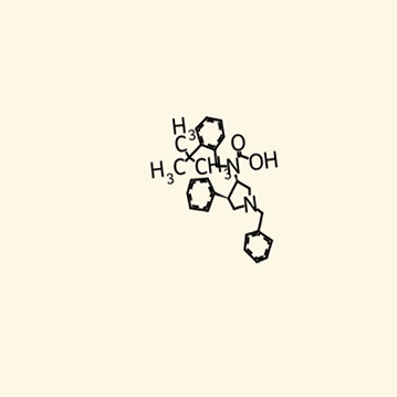 CC(C)(C)c1ccccc1CN(C(=O)O)[C@H]1CN(Cc2ccccc2)C[C@H]1c1ccccc1